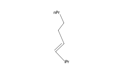 [CH2]CCCC/C=C/C(C)C